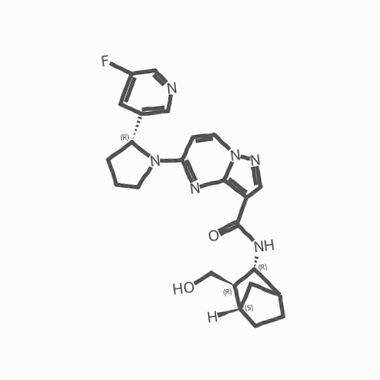 O=C(N[C@@H]1C2CC[C@@H](C2)[C@H]1CO)c1cnn2ccc(N3CCC[C@@H]3c3cncc(F)c3)nc12